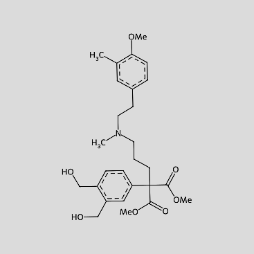 COC(=O)C(CCCN(C)CCc1ccc(OC)c(C)c1)(C(=O)OC)c1ccc(CO)c(CO)c1